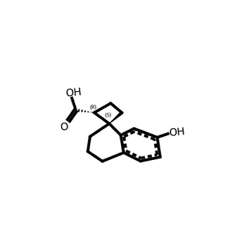 O=C(O)[C@@H]1CC[C@@]12CCCc1ccc(O)cc12